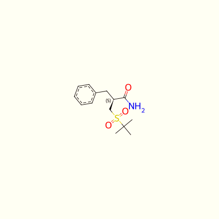 CC(C)(C)S(=O)(=O)C[C@@H](Cc1ccccc1)C(N)=O